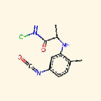 Cc1ccc(N=C=O)cc1NC(C)C(=O)NCl